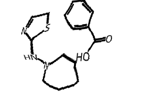 C1=NC(NN2CCCCC2)SC1.O=C(O)c1ccccc1